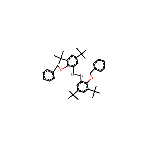 CC(C)(C)c1cc([Se][Se]c2cc(C(C)(C)C)cc(C(C)(C)C)c2OCc2ccccc2)c(OCc2ccccc2)c(C(C)(C)C)c1